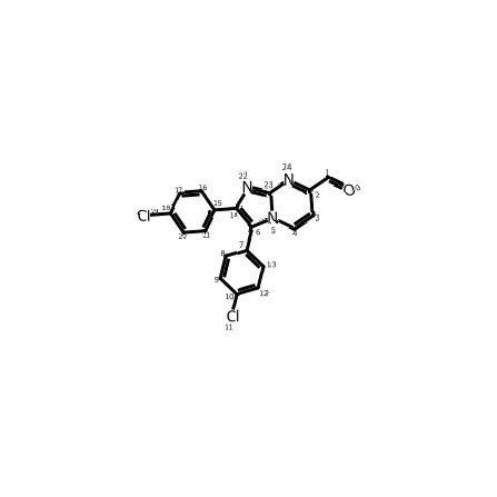 O=Cc1ccn2c(-c3ccc(Cl)cc3)c(-c3ccc(Cl)cc3)nc2n1